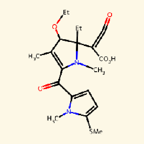 CCOC1C(C)=C(C(=O)c2ccc(SC)n2C)N(C)C1(CC)C(=C=O)C(=O)O